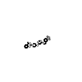 CC(OC(=O)N1CCC(Oc2cc(N3CCc4cc(S(C)(=O)=O)ccc43)ncn2)CC1)c1ccccc1